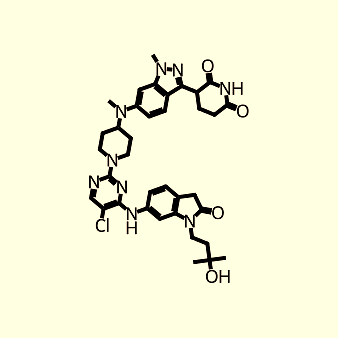 CN(c1ccc2c(C3CCC(=O)NC3=O)nn(C)c2c1)C1CCN(c2ncc(Cl)c(Nc3ccc4c(c3)N(CCC(C)(C)O)C(=O)C4)n2)CC1